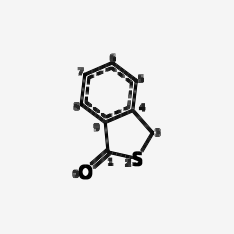 O=C1SCc2ccccc21